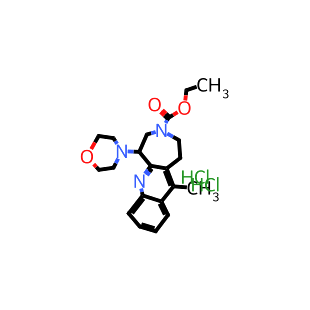 CCOC(=O)N1CCc2c(nc3ccccc3c2C)C(N2CCOCC2)C1.Cl.Cl